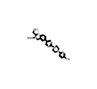 CNN(Cc1cccc(-c2cnc(N3CCN(c4ccc(C#N)cn4)CC3)nc2)c1)C(=O)CN